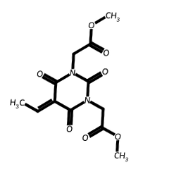 CC=C1C(=O)N(CC(=O)OC)C(=O)N(CC(=O)OC)C1=O